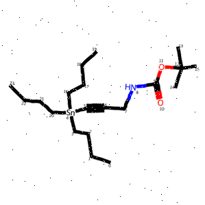 CCC[CH2][Sn]([C]#CCNC(=O)OC(C)(C)C)([CH2]CCC)[CH2]CCC